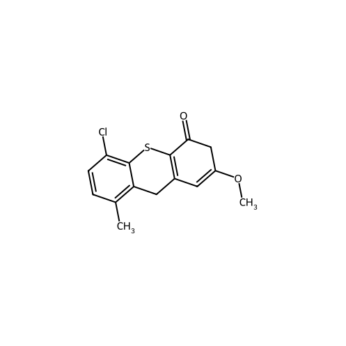 COC1=CC2=C(Sc3c(Cl)ccc(C)c3C2)C(=O)C1